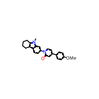 COc1ccc(-c2ccn(-c3ccc4c5c(n(C)c4c3)CCCC5)c(=O)c2)cc1